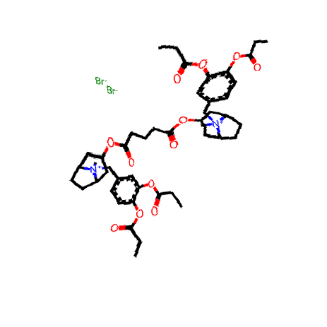 CCC(=O)Oc1ccc(C[N+]2(C)C3CCC2CC(OC(=O)CCCC(=O)OC2CC4CCC(C2)[N+]4(C)Cc2ccc(OC(=O)CC)c(OC(=O)CC)c2)C3)cc1OC(=O)CC.[Br-].[Br-]